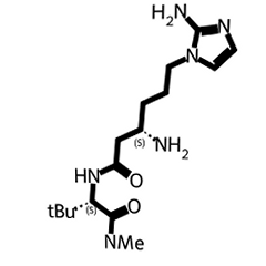 CNC(=O)[C@@H](NC(=O)C[C@@H](N)CCCn1ccnc1N)C(C)(C)C